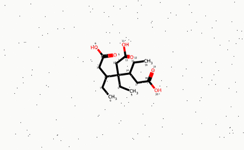 CCC(CC(=O)O)C(CC)(CC(=O)O)C(CC)CC(=O)O